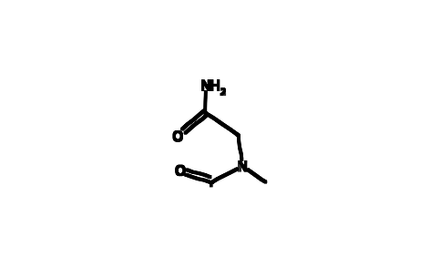 CN([C]=O)CC(N)=O